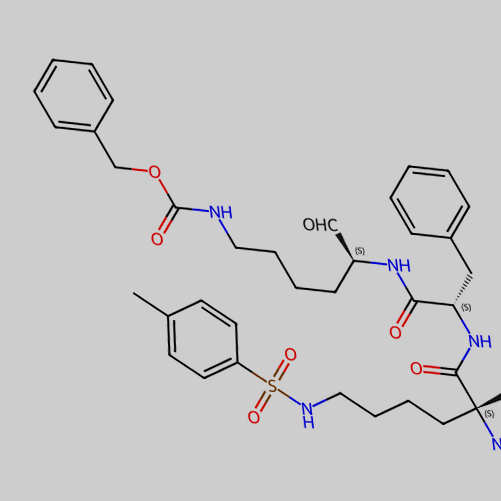 CC(=O)[C@@](N)(CCCCNS(=O)(=O)c1ccc(C)cc1)C(=O)N[C@@H](Cc1ccccc1)C(=O)N[C@H](C=O)CCCCNC(=O)OCc1ccccc1